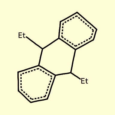 CCC1c2ccccc2C(CC)c2ccccc21